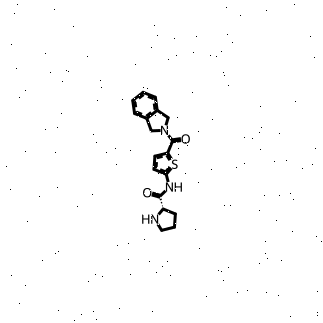 O=C(Nc1ccc(C(=O)N2Cc3ccccc3C2)s1)[C@@H]1CCCN1